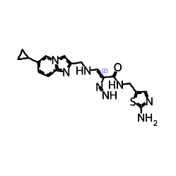 N=N/C(=C\NCc1cn2cc(C3CC3)ccc2n1)C(=O)NCc1cnc(N)s1